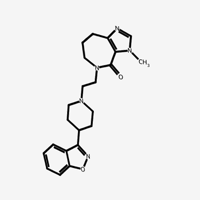 Cn1cnc2c1C(=O)N(CCN1CCC(c3noc4ccccc34)CC1)CCC2